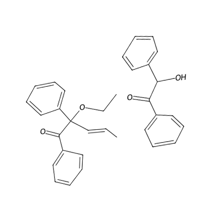 CC=CC(OCC)(C(=O)c1ccccc1)c1ccccc1.O=C(c1ccccc1)C(O)c1ccccc1